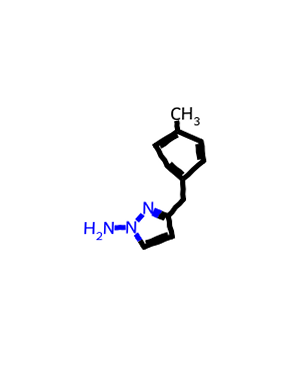 Cc1ccc(Cc2ccn(N)n2)cc1